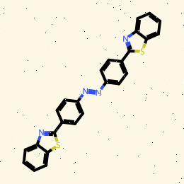 c1ccc2sc(-c3ccc(N=Nc4ccc(-c5nc6ccccc6s5)cc4)cc3)nc2c1